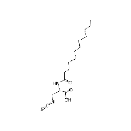 CCCCCCCCCCCC(=O)NC(CN=C=S)C(=O)O